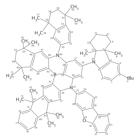 CC(C)(C)c1ccc2c(c1)C1(C)CCCCC1(C)N2c1cc2c3c(c1)N(c1ccc4c(c1)oc1ccccc14)c1cc4c(cc1B3c1cc3c(cc1N2c1ccc2c(c1)C(C)(C)CCC2(C)C)C(C)(C)CCC3(C)C)C(C)(C)c1ccccc1C4(C)C